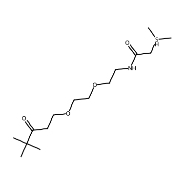 C[SH](C)CC(=O)NCCOCCOCCC(=O)C(C)(C)C